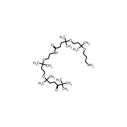 CC(C)(CCOC(C)(C)CCC(=O)NCCOC(C)(C)CCOC(C)(C)CCC(=O)C(C)(C)C)OCCCN